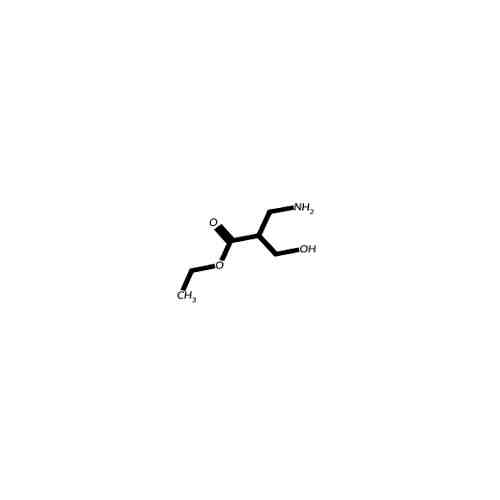 CCOC(=O)C(CN)CO